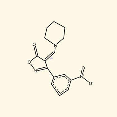 O=C1ON=C(c2cccc([N+](=O)[O-])c2)/C1=C/N1CCCCC1